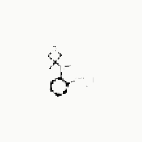 CN(c1ccccc1C(=O)O)C1(C)COC1